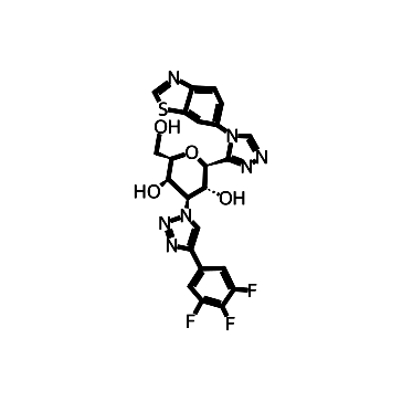 OC[C@H]1O[C@@H](c2nncn2-c2ccc3ncsc3c2)[C@H](O)[C@@H](n2cc(-c3cc(F)c(F)c(F)c3)nn2)[C@H]1O